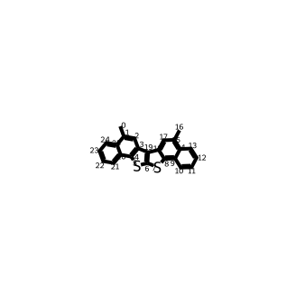 Cc1cc2c(sc3sc4c5ccccc5c(C)cc4c32)c2ccccc12